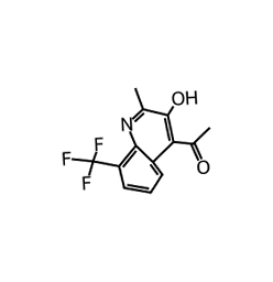 CC(=O)c1c(O)c(C)nc2c(C(F)(F)F)cccc12